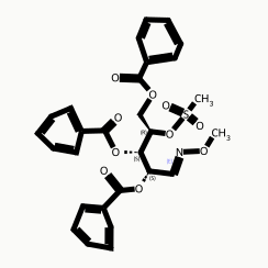 CO/N=C/[C@H](OC(=O)c1ccccc1)[C@H](OC(=O)c1ccccc1)[C@@H](COC(=O)c1ccccc1)OS(C)(=O)=O